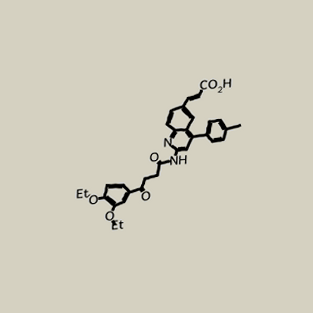 CCOc1ccc(C(=O)CCC(=O)Nc2cc(-c3ccc(C)cc3)c3cc(C=CC(=O)O)ccc3n2)cc1OCC